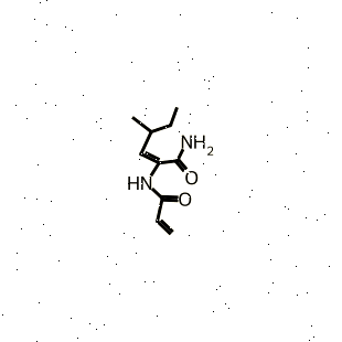 C=CC(=O)NC(=CC(C)CC)C(N)=O